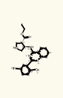 CCOC(=O)[C@H]1CNC[C@@H]1Nc1nc(-c2cc(F)ccc2O)nc2ccccc12